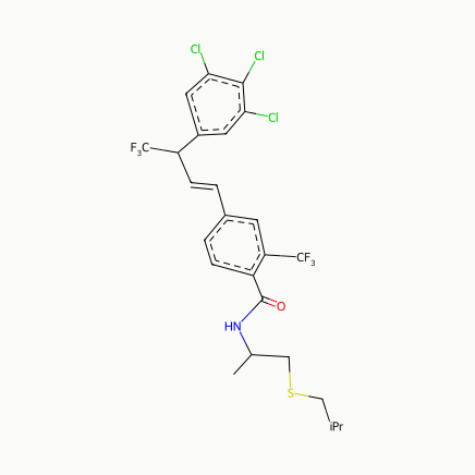 CC(C)CSCC(C)NC(=O)c1ccc(/C=C/C(c2cc(Cl)c(Cl)c(Cl)c2)C(F)(F)F)cc1C(F)(F)F